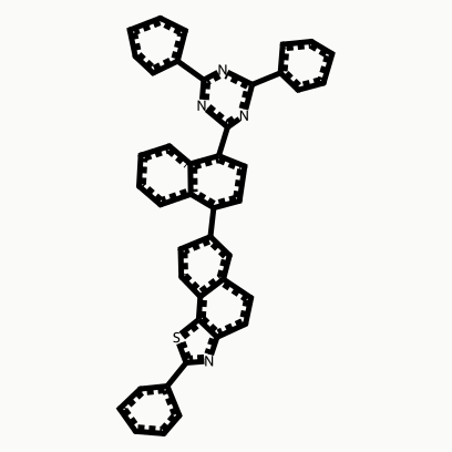 c1ccc(-c2nc(-c3ccccc3)nc(-c3ccc(-c4ccc5c(ccc6nc(-c7ccccc7)sc65)c4)c4ccccc34)n2)cc1